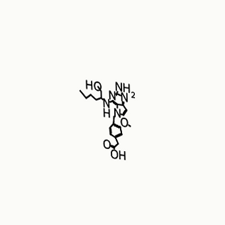 CCCCC(CO)Nc1nc(N)nc2ccn(Cc3ccc(CC(=O)O)cc3OC)c12